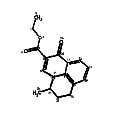 CCOC(=O)c1cn2c3c(cccc3c1=O)CCC2C